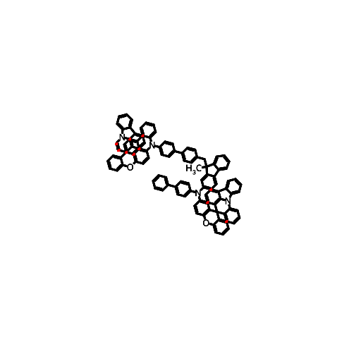 CC1(Cc2ccc(-c3ccc(N(c4ccc5c(c4)C4(c6ccccc6O5)c5ccccc5-n5c6ccccc6c6cccc4c65)c4ccccc4-c4ccccc4)cc3)cc2)c2ccccc2-c2ccc(N(c3ccc(-c4ccccc4)cc3)c3ccc4c(c3)C3(c5ccccc5O4)c4ccccc4-n4c5ccccc5c5cccc3c54)cc21